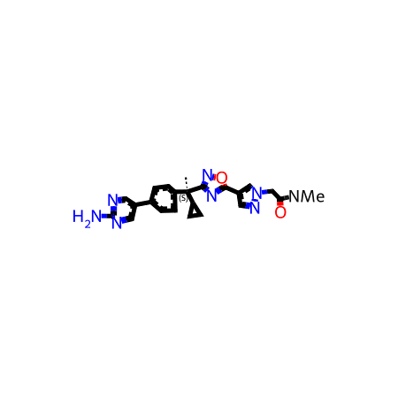 CNC(=O)Cn1cc(-c2nc([C@](C)(c3ccc(-c4cnc(N)nc4)cc3)C3CC3)no2)cn1